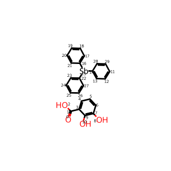 O=C(O)c1cccc(O)c1O.c1cc[c]([Sb]([c]2ccccc2)[c]2ccccc2)cc1